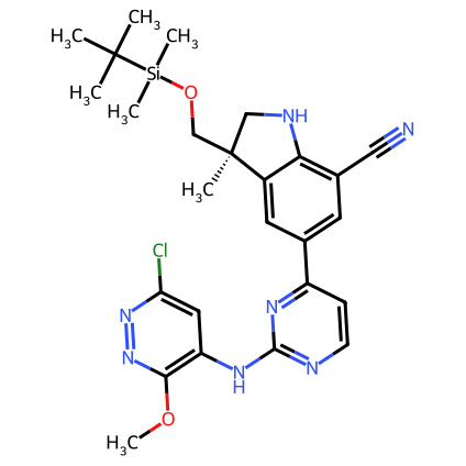 COc1nnc(Cl)cc1Nc1nccc(-c2cc(C#N)c3c(c2)[C@@](C)(CO[Si](C)(C)C(C)(C)C)CN3)n1